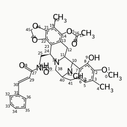 COc1c(C)cc2c(c1O)C1C3Cc4c(OC(C)=O)c(C)c5c(c4[C@H](CNC(=O)/C=C/c4ccccc4)N3[C@@H](O)C(C2)N1C)OCO5